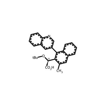 Cc1cc2ccccc2c(-c2cnc3ccccc3c2)c1[C@H](OC(C)(C)C)C(=O)O